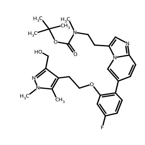 Cc1c(CCOc2cc(F)ccc2-c2ccc3ncc(CCN(C)C(=O)OC(C)(C)C)n3c2)c(CO)nn1C